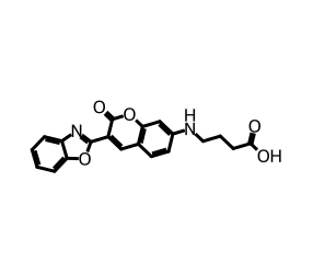 O=C(O)CCCNc1ccc2cc(-c3nc4ccccc4o3)c(=O)oc2c1